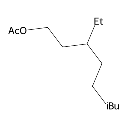 CCC(C)CCC(CC)CCOC(C)=O